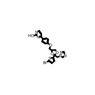 Oc1nccc(-c2ccc(OCC3COC(Cn4cncn4)(c4ccc(Br)s4)O3)cc2)n1